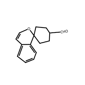 O=CC1CCC2(CC1)OC=Cc1ccccc12